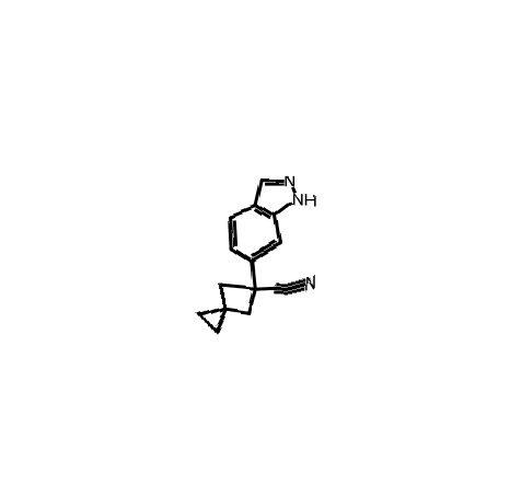 N#CC1(c2ccc3cn[nH]c3c2)CC2(CC2)C1